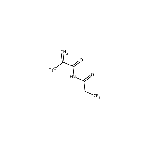 C=C(C)C(=O)NC(=O)CC(F)(F)F